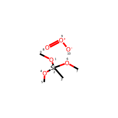 CO[Si](C)(OC)OC.O=[O+][O-]